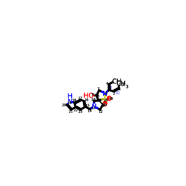 C/C=C\C(=C/C)N1C[C@H](O)[C@]2(CCN(Cc3ccc4[nH]ccc4c3)C2)S1(=O)=O